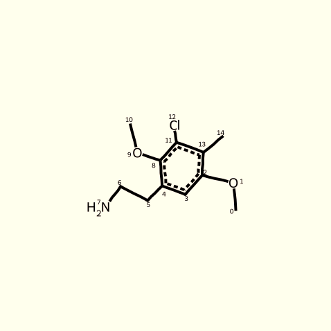 COc1cc(CCN)c(OC)c(Cl)c1C